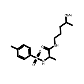 COC(C)CCCNC(=O)C(C)NS(=O)(=O)c1ccc(C)cc1